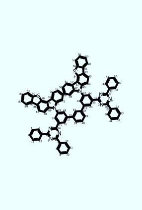 c1ccc(-c2nc(-c3ccccc3)nc(-c3cc(-c4cccc(-c5cc(-c6nc(-c7ccccc7)nc(-c7ccccc7)n6)cc(-n6c7ccccc7c7c8sc9ccccc9c8ccc76)c5)c4)cc(-n4c5ccccc5c5c6sc7ccccc7c6ccc54)c3)n2)cc1